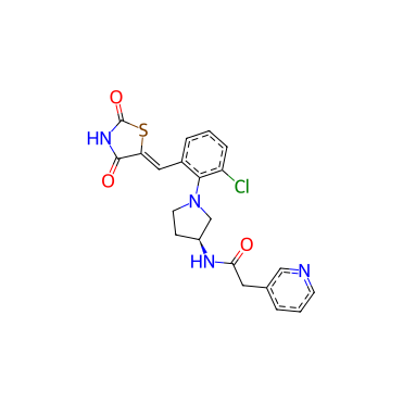 O=C(Cc1cccnc1)N[C@H]1CCN(c2c(Cl)cccc2/C=C2\SC(=O)NC2=O)C1